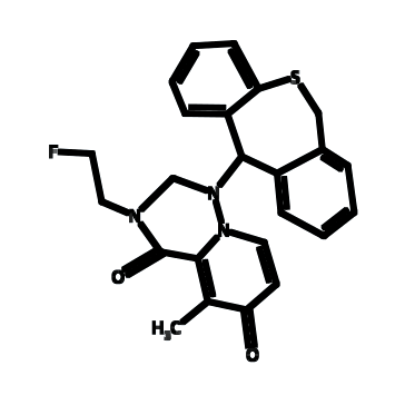 Cc1c2n(ccc1=O)N(C1c3ccccc3CSc3ccccc31)CN(CCF)C2=O